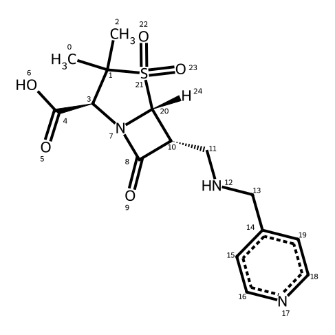 CC1(C)[C@H](C(=O)O)N2C(=O)[C@@H](CNCc3ccncc3)[C@H]2S1(=O)=O